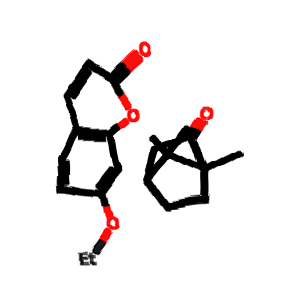 CC12CCC(CC1=O)C2(C)C.CCOc1ccc2ccc(=O)oc2c1